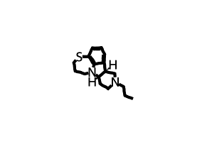 CCCN1CC[C@@H]2[C@H](C1)c1cccc3c1N2CCCS3